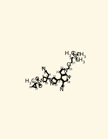 CC1(S(=O)(=O)N2CC(CC#N)(n3cc(-c4c(C#N)cnc5c4ccn5COCC[Si](C)(C)C)cn3)C2)CC1